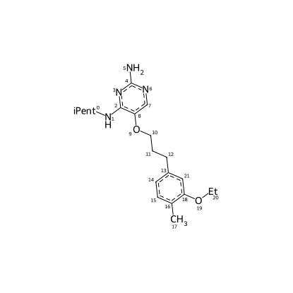 CCCC(C)Nc1nc(N)ncc1OCCCc1ccc(C)c(OCC)c1